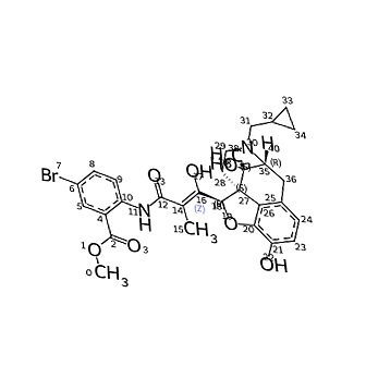 COC(=O)c1cc(Br)ccc1NC(=O)/C(C)=C(\O)[C@@H]1Oc2c(O)ccc3c2[C@@]12CCN(CC1CC1)[C@H](C3)[C@@]2(C)O